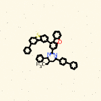 CCC1CC(c2ccc(-c3ccccc3)cc2)=NC(c2cc(-c3ccc4sc5ccc(-c6ccccc6)cc5c4c3)c3c(c2)oc2ccccc23)=NC1c1ccccc1